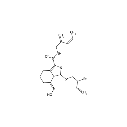 C=CC(CC)CSC1SC([S+]([O-])NCC(=C)/C=C\C)=C2CCC/C(=N\O)C21